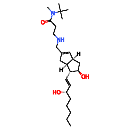 CCCCC[C@H](O)/C=C/[C@@H]1[C@H]2CC(CNCCC(=O)N(C)C(C)(C)C)=C[C@H]2C[C@H]1O